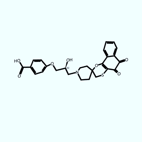 O=C1C(=O)c2ccccc2C2=C1SCC1(CCN(C[C@H](O)COc3ccc(C(=O)O)cc3)CC1)O2